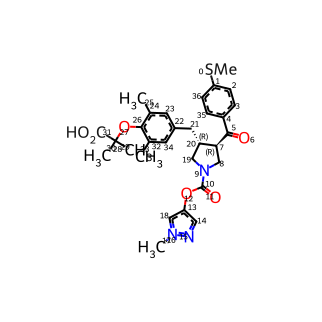 CSc1ccc(C(=O)[C@H]2CN(C(=O)Oc3cnn(C)c3)C[C@@H]2Cc2cc(C)c(OC(C)(C)C(=O)O)c(C)c2)cc1